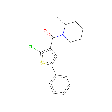 CC1CCCCN1C(=O)c1cc(-c2ccccc2)sc1Cl